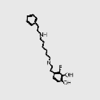 Oc1ccc(CCNCCCCCCNCCc2ccccc2)c(F)c1O